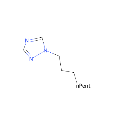 CCCCCCCCn1cncn1